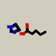 CCCCC(=O)O.c1c[nH]cn1